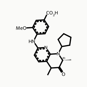 COc1cc(C(=O)O)ccc1Nc1ccc2c(n1)N(C1CCCC1)[C@H](C)C(=O)C2C